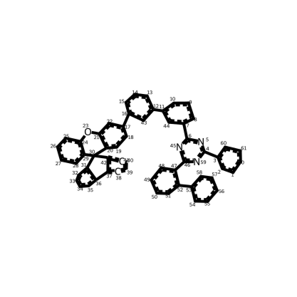 c1ccc(-c2nc(-c3cccc(-c4cccc(-c5ccc6c(c5)Oc5ccccc5C65c6ccccc6-c6ccccc65)c4)c3)nc(-c3ccccc3-c3ccccc3)n2)cc1